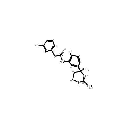 CC1(c2ccc(F)c(NC(=O)Cc3cccc(F)c3)c2)CCSC(N)=N1